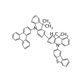 CC1(C)c2ccccc2N(c2ccc3sc4ccccc4c3c2)c2ccc(-c3ccc4c(c3)C(C)(C)c3ccccc3N4c3ccc4c5ccccc5c5ccccc5c4c3)cc21